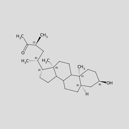 CC(=O)[C@@H](C)C[C@@H](C)[C@H]1CCC2C3CC[C@@H]4C[C@H](O)CC[C@]4(C)C3CC[C@@]21C